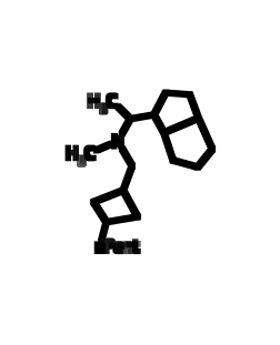 CCCCCC1CC(CN(C)C(C)C2CCC3CCCC32)C1